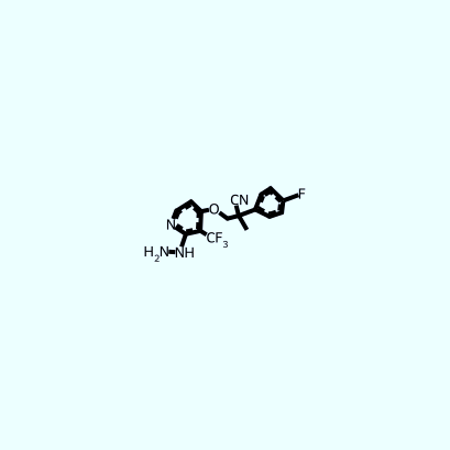 CC(C#N)(COc1ccnc(NN)c1C(F)(F)F)c1ccc(F)cc1